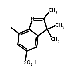 CC1=Nc2c(I)cc(S(=O)(=O)O)cc2C1(C)C